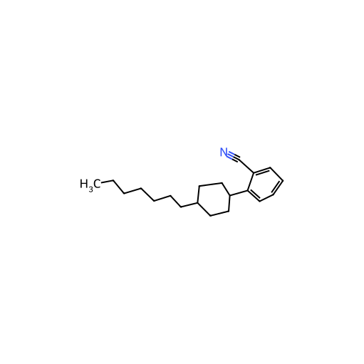 CCCCCCCC1CCC(c2ccccc2C#N)CC1